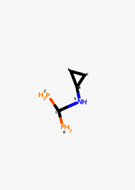 PC(P)NC1CC1